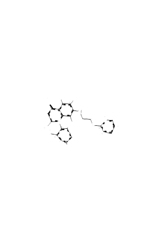 CCOC(=O)c1cc(=O)c2c(F)c(F)c(NCCNc3ccccn3)c(F)c2n1-c1ccccc1CC